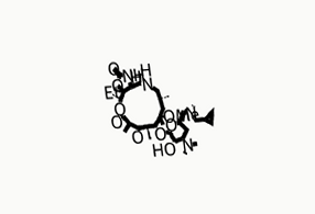 CC[C@]12OC(=O)N[C@@H]1[C@@H](C)NC[C@H](C)C[C@@](C)(OC)[C@H](OC1OC(CN(C)CC3CC3)CC(N(C)C)C1O)[C@@H](C)C(=O)C(C)C(=O)O[C@@H]2C